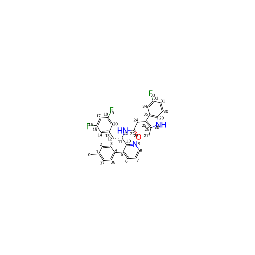 Cc1ccc(-c2cccnc2[C@H](Cc2cc(F)cc(F)c2)NC(=O)Cc2c(C)[nH]c3ccc(F)cc23)cc1